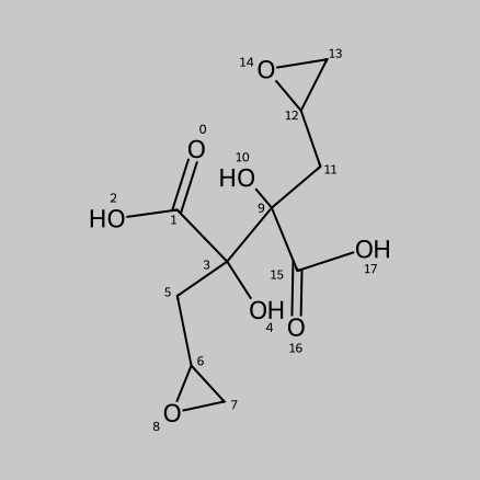 O=C(O)C(O)(CC1CO1)C(O)(CC1CO1)C(=O)O